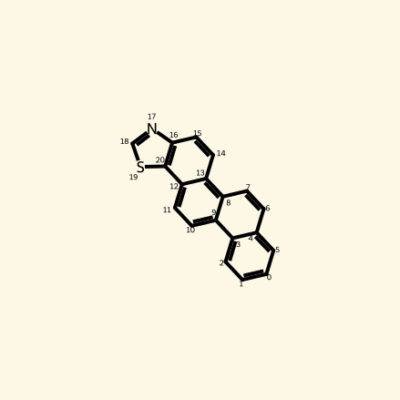 c1ccc2c(c1)ccc1c2ccc2c1ccc1ncsc12